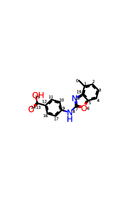 Cc1cccc2oc(Nc3ccc(C(=O)O)cc3)nc12